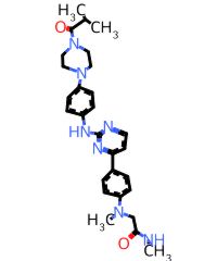 CNC(=O)CN(C)c1ccc(-c2ccnc(Nc3ccc(N4CCN(C(=O)C(C)C)CC4)cc3)n2)cc1